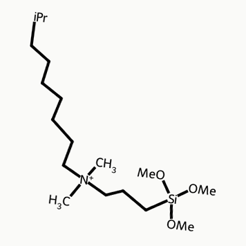 CO[Si](CCC[N+](C)(C)CCCCCCCC(C)C)(OC)OC